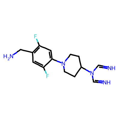 N=CN(C=N)C1CCN(c2cc(F)c(CN)cc2F)CC1